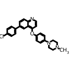 CN1CCN(c2ccc(Oc3ccnc4ccc(-c5ccc(Cl)cc5)cc34)cc2)CC1